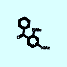 CNc1ccc(C(=O)c2ccccc2)c(NC)c1